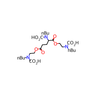 CCCCN(CCOC(=O)CCC(C(=O)OCCN(CCCC)C(=O)O)N(CCCC)C(=O)O)C(=O)O